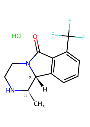 C[C@@H]1NCCN2C(=O)c3c(cccc3C(F)(F)F)[C@H]12.Cl